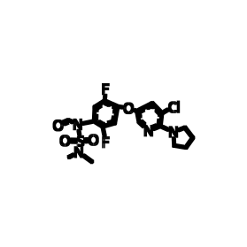 CN(C)S(=O)(=O)N(C=O)c1cc(F)c(Oc2cnc(N3CCCC3)c(Cl)c2)cc1F